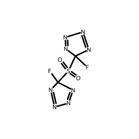 O=S(=O)(C1(F)N=NN=N1)C1(F)N=NN=N1